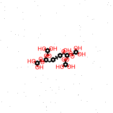 CC(C)(c1ccc(Cc2cc(OC(=O)c3cc(O)cc(O)c3)cc(OC(=O)c3cc(O)cc(O)c3)c2)cc1)c1ccc(C(OO)c2cc(OC(=O)c3cc(O)cc(O)c3)cc(OC(=O)c3cc(O)cc(O)c3)c2)cc1